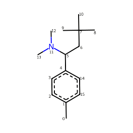 Cc1ccc(C(CC(C)(C)C)N(C)C)cc1